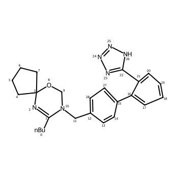 CCCCC1=NC2(CCCC2)OCN1Cc1ccc(-c2ccccc2-c2nnn[nH]2)cc1